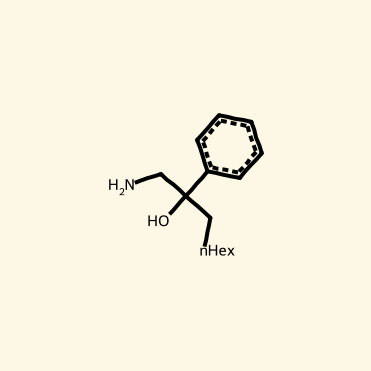 CCCCCCCC(O)(CN)c1ccccc1